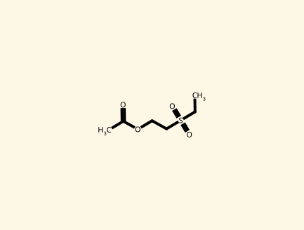 CCS(=O)(=O)CCOC(C)=O